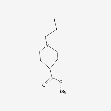 CC(C)(C)OC(=O)C1CCN(CCI)CC1